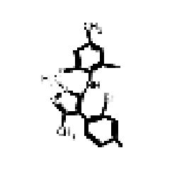 Cc1cc(F)c(Nc2c(-c3ccc(F)cc3Br)c(C)nn2C)c(F)c1